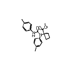 COC(=O)C1(N(C(=O)Nc2ccc(C)cc2)c2ccc(C)cc2)CCC1